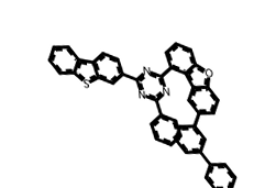 c1ccc(-c2cccc(-c3ccc4oc5cccc(-c6nc(-c7ccccc7)nc(-c7ccc8c(c7)sc7ccccc78)n6)c5c4c3)c2)cc1